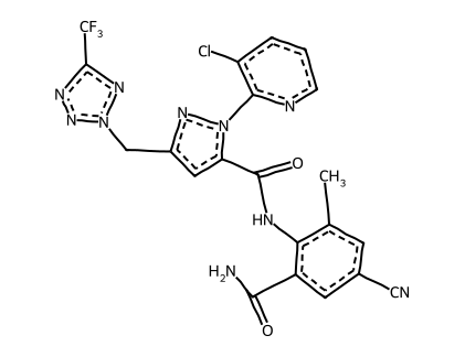 Cc1cc(C#N)cc(C(N)=O)c1NC(=O)c1cc(Cn2nnc(C(F)(F)F)n2)nn1-c1ncccc1Cl